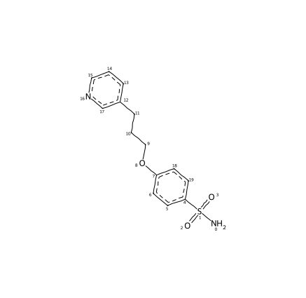 NS(=O)(=O)c1ccc(OCCCc2cccnc2)cc1